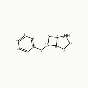 c1ccc(CN2CC3NCCC32)cc1